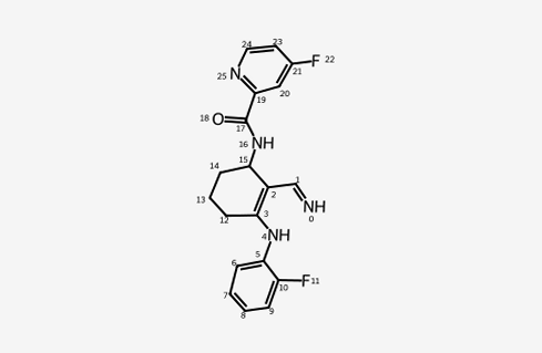 N=CC1=C(Nc2ccccc2F)CCCC1NC(=O)c1cc(F)ccn1